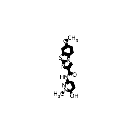 COc1ccc2c(c1)sc1nc(C(=O)NC3=NN(C)C(O)C=C3)cn12